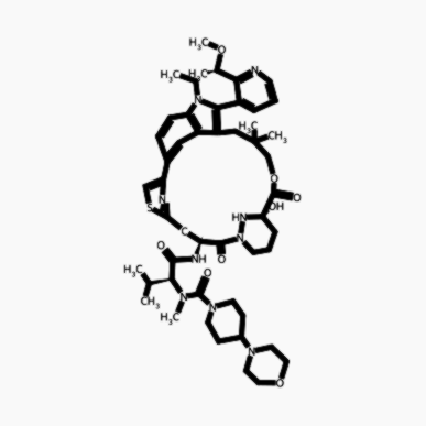 CCn1c(-c2cccnc2[C@H](C)OC)c2c3cc(ccc31)-c1csc(n1)C[C@H](NC(=O)[C@H](C(C)C)N(C)C(=O)N1CCC(N3CCOCC3)CC1)C(=O)N1CCC[C@@](O)(N1)C(=O)OCC(C)(C)C2